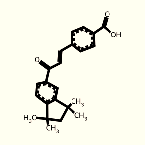 CC1(C)CC(C)(C)c2cc(C(=O)C=Cc3ccc(C(=O)O)cc3)ccc21